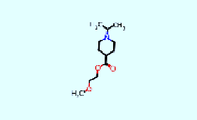 COCCOC(=O)C1CCN(C(C)C)CC1